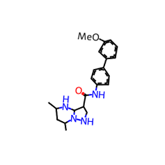 COc1cccc(-c2ccc(NC(=O)C3CNN4C(C)CC(C)NC34)cc2)c1